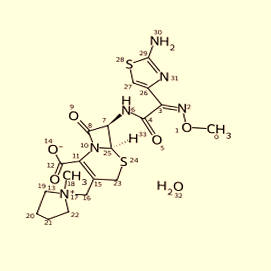 CO/N=C(\C(=O)N[C@@H]1C(=O)N2C(C(=O)[O-])=C(C[N+]3(C)CCCC3)CS[C@H]12)c1csc(N)n1.O